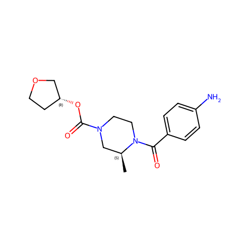 C[C@H]1CN(C(=O)O[C@@H]2CCOC2)CCN1C(=O)c1ccc(N)cc1